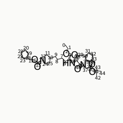 CCOC(=O)C(CCCCC1CCN(C(=O)OCc2ccccc2)CC1)NC1CCc2ccccc2N(CC(=O)OC(C)(C)C)C1=O